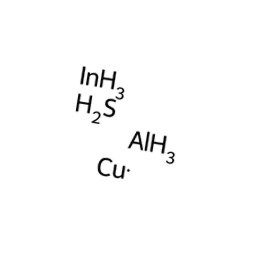 S.[AlH3].[Cu].[InH3]